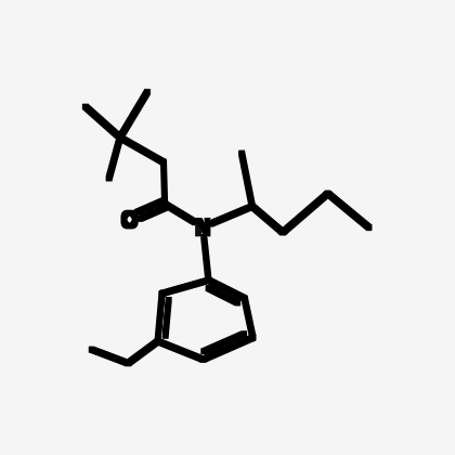 CCCC(C)N(C(=O)CC(C)(C)C)c1cccc(CC)c1